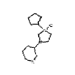 [O-][N+]1(C2CCCC2)CCN(C2CCCNC2)C1